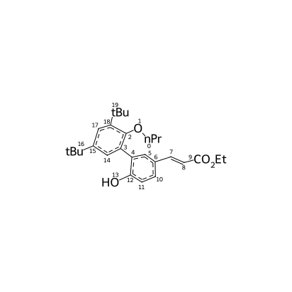 CCCOc1c(-c2cc(/C=C/C(=O)OCC)ccc2O)cc(C(C)(C)C)cc1C(C)(C)C